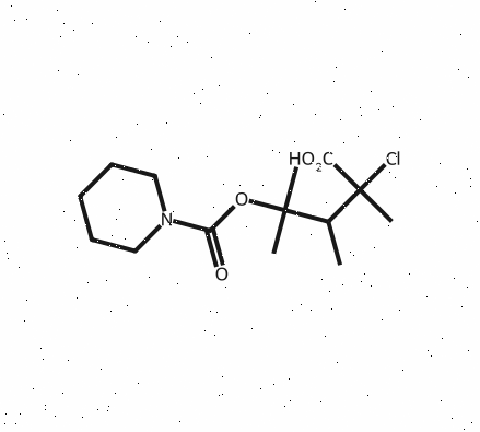 CC(C(C)(C)OC(=O)N1CCCCC1)C(C)(Cl)C(=O)O